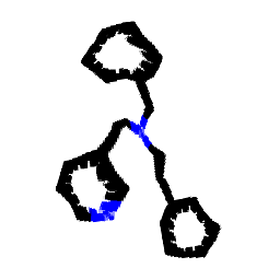 c1ccc(CCN(Cc2ccccc2)Cc2cccnc2)cc1